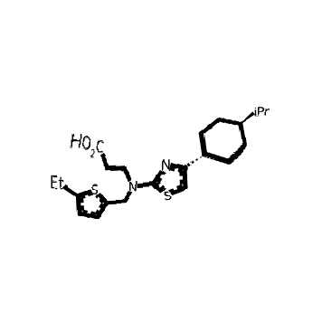 CCc1ccc(CN(CCC(=O)O)c2nc([C@H]3CC[C@H](C(C)C)CC3)cs2)s1